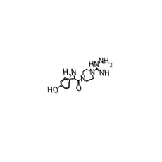 N=C(NN)N1CCN(C(=O)C(N)c2ccc(O)cc2)CC1